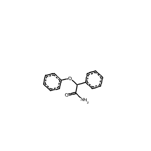 NC(=O)C(Oc1ccccc1)c1ccccc1